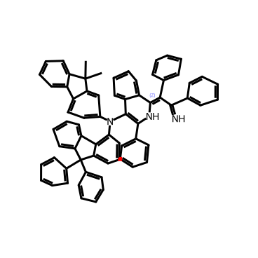 CC1(C)c2ccccc2-c2ccc(N(C3=C(c4ccccc4)N/C(=C(\C(=N)c4ccccc4)c4ccccc4)c4ccccc43)c3cccc4c3-c3ccccc3C4(c3ccccc3)c3ccccc3)cc21